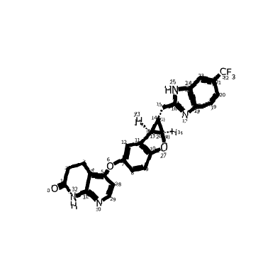 O=C1CCc2c(Oc3ccc4c(c3)[C@H]3[C@H](Cc5nc6ccc(C(F)(F)F)cc6[nH]5)[C@H]3O4)ccnc2N1